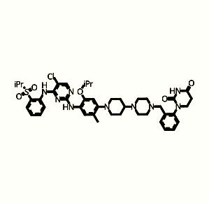 Cc1cc(Nc2ncc(Cl)c(Nc3ccccc3S(=O)(=O)C(C)C)n2)c(OC(C)C)cc1N1CCC(N2CCN(Cc3ccccc3N3CCC(=O)NC3=O)CC2)CC1